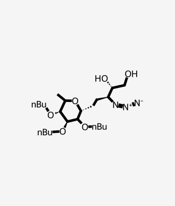 CCCCOC1[C@@H](OCCCC)[C@H](OCCCC)C(C)O[C@@H]1CC[C@H](N=[N+]=[N-])[C@H](O)CO